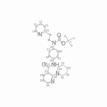 CC(C)(C)OC(=O)N(CCc1ccccn1)c1ccc(NC(=O)c2cccnc2N2CCCCC2)cc1